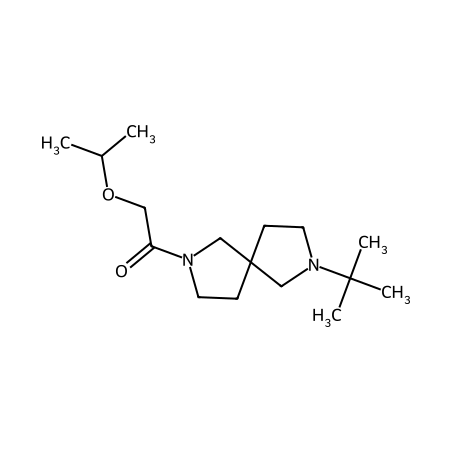 CC(C)OCC(=O)N1CCC2(CCN(C(C)(C)C)C2)C1